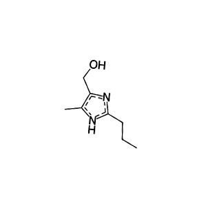 CCCc1nc(CO)c(C)[nH]1